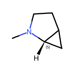 CN1CCC2C[C@@H]21